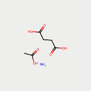 CC(=O)O.N.O=C(O)CCC(=O)O